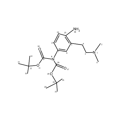 CN(C)CCc1cc(N(C(=O)OC(C)(C)C)C(=O)OC(C)(C)C)ccc1N